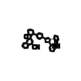 N#Cc1cc2c(oc3cccc(-c4ccc(C5=C[C@H](c6ccc[nH]6)C(C6C=CC=CN6)=C5)cc4)c32)c2ccccc12